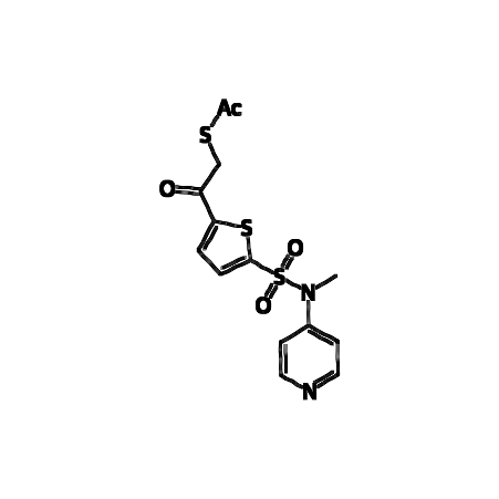 CC(=O)SCC(=O)c1ccc(S(=O)(=O)N(C)c2ccncc2)s1